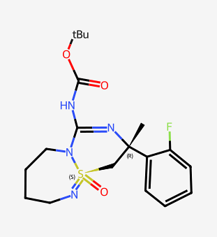 CC(C)(C)OC(=O)NC1=N[C@](C)(c2ccccc2F)C[S@@]2(=O)=NCCCCN12